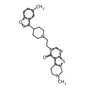 Cc1ccc2occ(C3CCN(CCn4cnc5sc6c(c5c4=O)CCN(C)C6)CC3)c2c1